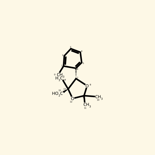 Cc1ccccc1[C@@H]1OC(C)(C)O[C@@]1(C)C(=O)O